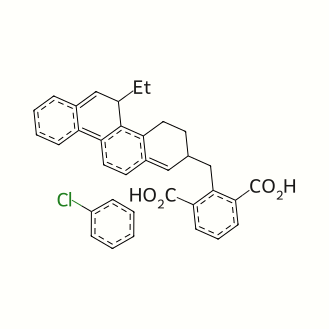 CCC1C=c2ccccc2=c2ccc3c(c21)CCC(Cc1c(C(=O)O)cccc1C(=O)O)C=3.Clc1ccccc1